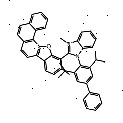 Cc1ccc2c(oc3c2ccc2ccc4ccccc4c23)c1-c1n(-c2c(C(C)C)cc(-c3ccccc3)cc2C(C)C)c2ccccc2[n+]1C